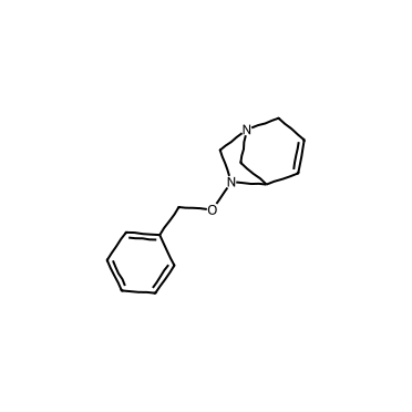 C1=CC2CN(C1)CN2OCc1ccccc1